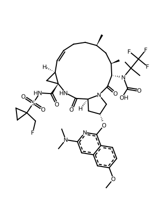 COc1ccc2c(O[C@@H]3C[C@H]4C(=O)N[C@]5(C(=O)NS(=O)(=O)C6(CF)CC6)C[C@H]5/C=C\CC[C@@H](C)C[C@@H](C)[C@H](N(C(=O)O)C(C)(C)C(F)(F)F)C(=O)N4C3)nc(N(C)C)cc2c1